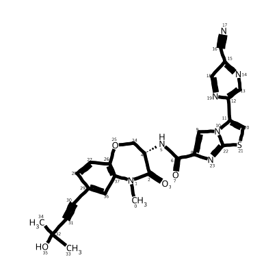 CN1C(=O)[C@@H](NC(=O)c2cn3c(-c4cnc(C#N)cn4)csc3n2)COc2ccc(C#CC(C)(C)O)cc21